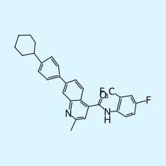 Cc1cc(C(=O)Nc2ccc(F)cc2C(F)(F)F)c2ccc(-c3ccc(C4CCCCC4)cc3)cc2n1